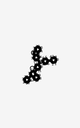 c1ccc(-c2ccc(N(c3ccc4c(c3)oc3cc(-c5ccccc5)c5ccccc5c34)c3ccc4oc5ccccc5c4c3)cc2)cc1